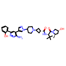 C[C@@H]1C[C@@H](O)CN1C(=O)[C@@H](NC(=O)[C@H]1C[C@H](N2CCC(n3cc(-c4cc(-c5ccccc5O)nnc4N)cn3)CC2)C1)C(C)(C)C